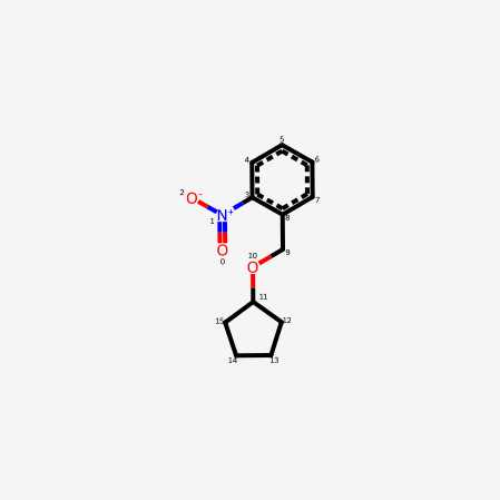 O=[N+]([O-])c1ccccc1COC1CCCC1